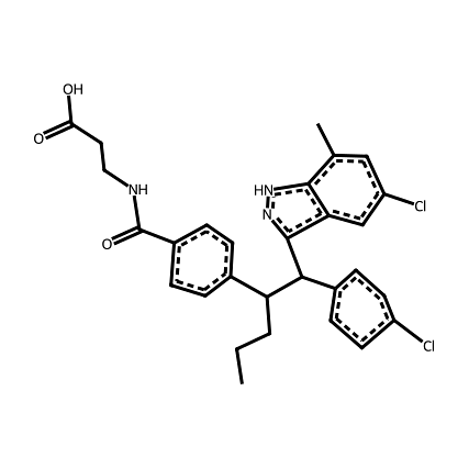 CCCC(c1ccc(C(=O)NCCC(=O)O)cc1)C(c1ccc(Cl)cc1)c1n[nH]c2c(C)cc(Cl)cc12